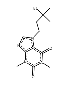 CCC(C)(C)CCn1cnc2c1c(=O)n(C)c(=O)n2C